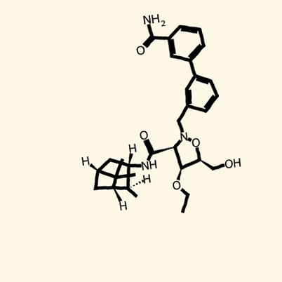 CCO[C@@H]1[C@H](CO)ON(Cc2cccc(-c3cccc(C(N)=O)c3)c2)[C@@H]1C(=O)N[C@H]1C[C@H]2C[C@@H]([C@@H]1C)C2(C)C